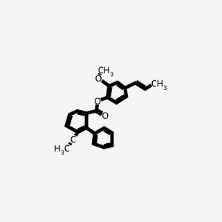 C/C=C/c1ccc(OC(=O)c2cccc(CC)c2-c2ccccc2)c(OC)c1